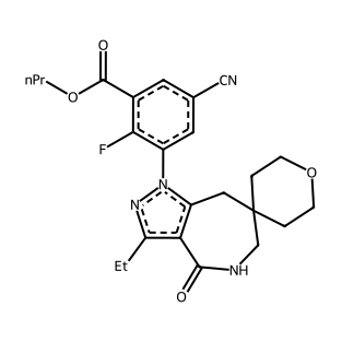 CCCOC(=O)c1cc(C#N)cc(-n2nc(CC)c3c2CC2(CCOCC2)CNC3=O)c1F